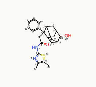 Cc1nc(NC(=O)CC2(c3ccccc3)C3CC4CC2CC(C3)C4O)sc1C